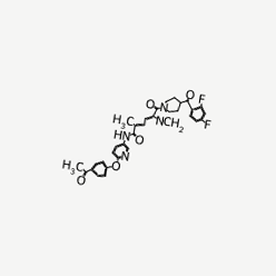 C=N/C(=C\C=C(/C)C(=O)Nc1ccc(Oc2ccc(C(C)=O)cc2)nc1)C(=O)N1CCC(C(=O)c2ccc(F)cc2F)CC1